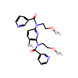 COCCN(C(=O)c1cccnc1)c1ccc(C)c(N(CCOC)C(=O)c2cccnc2)n1